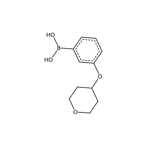 OB(O)c1cccc(OC2CCOCC2)c1